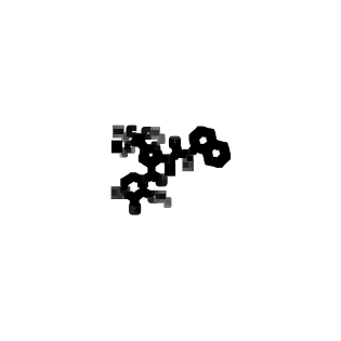 CC1C(=O)NCCN1C(=O)c1cc(C(C)(C)C)sc1NC(=O)Nc1cccc2ccccc12